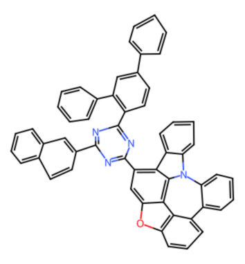 c1ccc(-c2ccc(-c3nc(-c4ccc5ccccc5c4)nc(-c4cc5oc6cccc7c8ccccc8n8c9ccccc9c4c8c5c67)n3)c(-c3ccccc3)c2)cc1